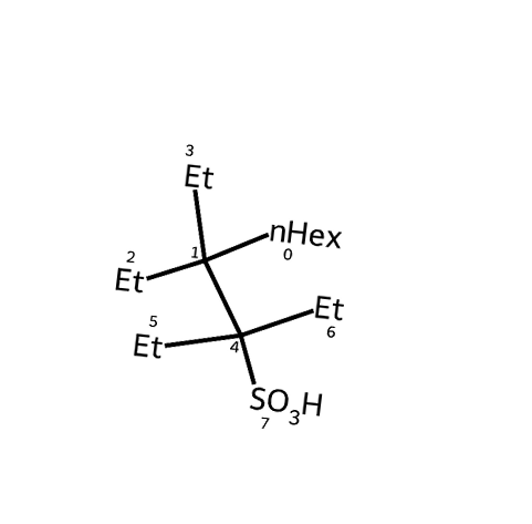 CCCCCCC(CC)(CC)C(CC)(CC)S(=O)(=O)O